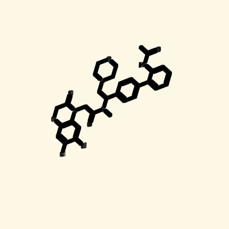 CC(=O)Nc1ccccc1-c1ccc(C(CN2CCOCC2)N(C)C(=O)CN2C(=O)COc3cc(Cl)c(Cl)cc32)cc1